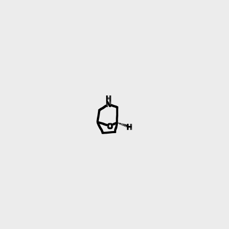 C1C[C@@H]2CNCC1O2